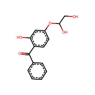 O=C(c1ccccc1)c1ccc(OC(O)CO)cc1O